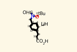 CC(C)(C)ON(C=O)Cc1ccc(CCC(=O)O)cc1.[LiH]